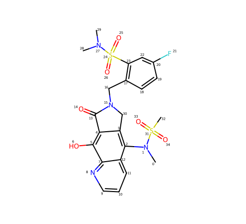 CN(c1c2c(c(O)c3ncccc13)C(=O)N(Cc1ccc(F)cc1S(=O)(=O)N(C)C)C2)S(C)(=O)=O